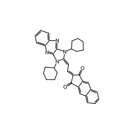 O=C1C(=CC=C2N(C3CCCCC3)c3nc4ccccc4nc3N2C2CCCCC2)C(=O)c2cc3ccccc3cc21